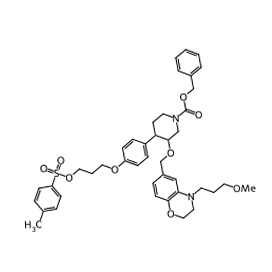 COCCCN1CCOc2ccc(COC3CN(C(=O)OCc4ccccc4)CCC3c3ccc(OCCCOS(=O)(=O)c4ccc(C)cc4)cc3)cc21